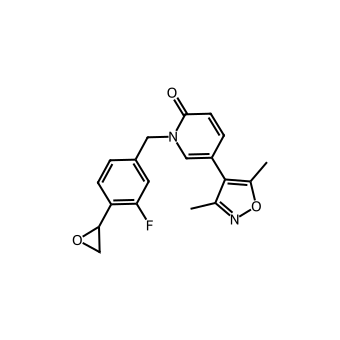 Cc1noc(C)c1-c1ccc(=O)n(Cc2ccc(C3CO3)c(F)c2)c1